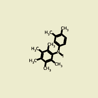 Cc1ccc(N(I)c2c(C)c(C)c(C)c(C)c2C)cc1C